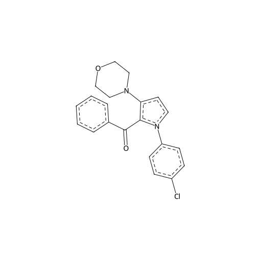 O=C(c1ccccc1)c1c(N2CCOCC2)ccn1-c1ccc(Cl)cc1